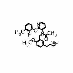 COc1ccc(CCC[18F])cc1CN(C(C)=O)c1cccnc1Oc1cccc(C)c1F